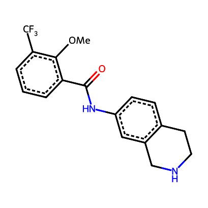 COc1c(C(=O)Nc2ccc3c(c2)CNCC3)cccc1C(F)(F)F